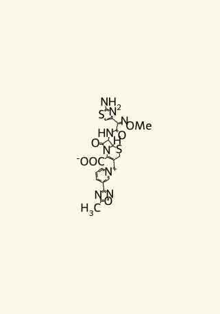 CO/N=C(\C(=O)N[C@@H]1C(=O)N2C(C(=O)[O-])=C(C[n+]3cccc(-c4noc(C)n4)c3)CS[C@@H]12)c1csc(N)n1